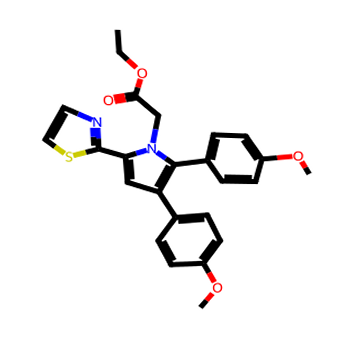 CCOC(=O)Cn1c(-c2nccs2)cc(-c2ccc(OC)cc2)c1-c1ccc(OC)cc1